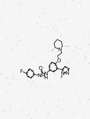 C[C@@H]1CCC[C@H](C)N1CCOc1ccc(NC(=O)Nc2ccc(F)cc2)cc1-c1ccnn1C